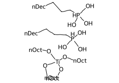 CCCCCCCCCCCCC[PH](O)(O)O.CCCCCCCCCCCCC[PH](O)(O)O.CCCCCCCC[O][Ti]([O]CCCCCCCC)([O]CCCCCCCC)[O]CCCCCCCC